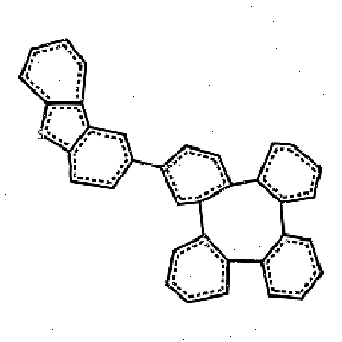 c1ccc2c(c1)-c1ccccc1-c1ccc(-c3ccc4sc5ccccc5c4c3)cc1-c1ccccc1-2